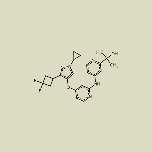 CC(C)(O)c1cc(Nc2cc(Oc3cn(C4CC4)nc3C3CC(F)(F)C3)ccn2)ccn1